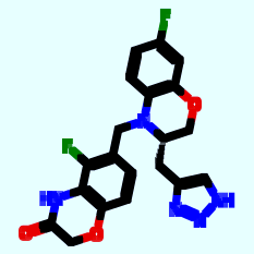 O=C1COc2ccc(CN3c4ccc(F)cc4OC[C@@H]3Cc3c[nH]nn3)c(F)c2N1